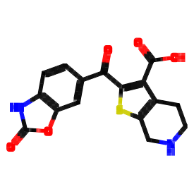 O=C(c1ccc2[nH]c(=O)oc2c1)c1sc2c(c1C(=O)O)CCNC2